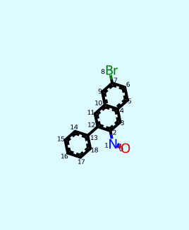 O=Nc1cc2ccc(Br)cc2cc1-c1ccccc1